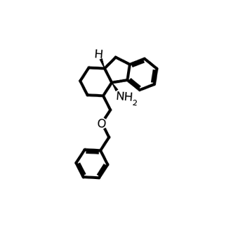 N[C@]12c3ccccc3C[C@H]1CCCC2COCc1ccccc1